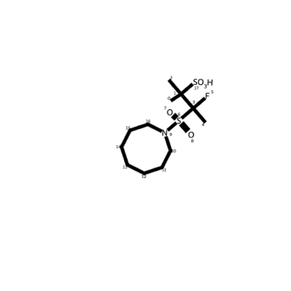 CC(C)(C(C)(F)S(=O)(=O)N1CCCCCCC1)S(=O)(=O)O